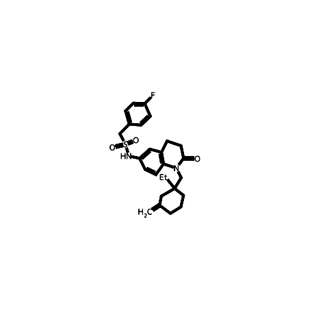 C=C1CCCC(CC)(CN2C(=O)CCc3cc(NS(=O)(=O)Cc4ccc(F)cc4)ccc32)C1